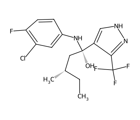 CC[C@H](C)C[C@@](O)(Nc1ccc(F)c(Cl)c1)c1c[nH]nc1C(F)(F)F